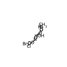 Cc1nc2cc(OC[C@H](O)CN3CCN(CCOc4ccc(Br)c(Cl)c4)CC3)ccc2s1